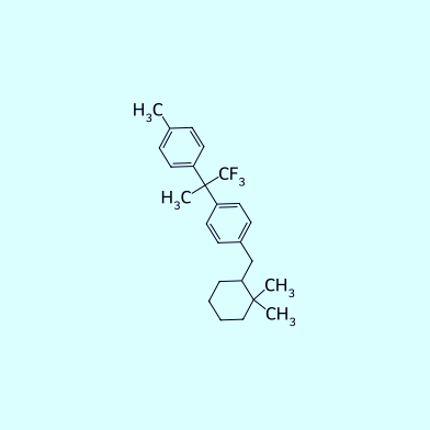 Cc1ccc(C(C)(c2ccc(CC3CCCCC3(C)C)cc2)C(F)(F)F)cc1